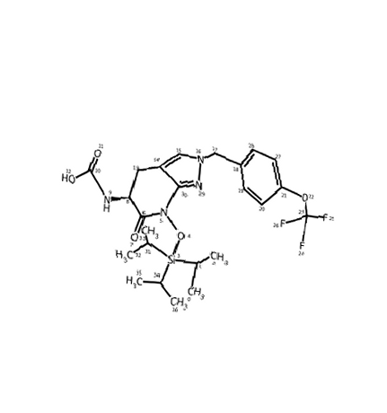 CC(C)[Si](ON1C(=O)[C@@H](NC(=O)O)Cc2cn(Cc3ccc(OC(F)(F)F)cc3)nc21)(C(C)C)C(C)C